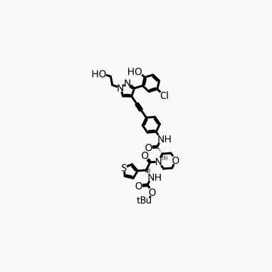 CC(C)(C)OC(=O)N[C@@H](C(=O)N1CCOC[C@H]1C(=O)Nc1ccc(C#Cc2cn(CCO)nc2-c2cc(Cl)ccc2O)cc1)c1ccsc1